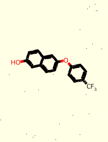 Oc1ccc2cc(Oc3ccc(C(F)(F)F)cc3)ccc2c1